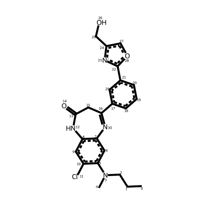 CCCN(C)c1cc2c(cc1Cl)NC(=O)CC(c1cccc(-c3nc(CO)co3)c1)=N2